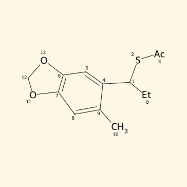 CCC(SC(C)=O)c1cc2c(cc1C)OCO2